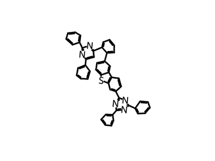 c1ccc(-c2cc(-c3ccccc3-c3ccc4sc5cc(-c6nc(-c7ccccc7)nc(-c7ccccc7)n6)ccc5c4c3)nc(-c3ccccc3)n2)cc1